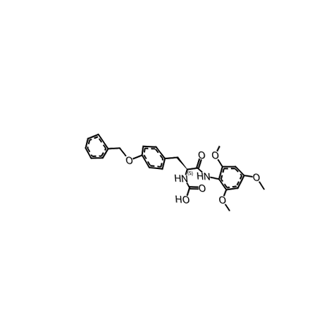 COc1cc(OC)c(NC(=O)[C@H](Cc2ccc(OCc3ccccc3)cc2)NC(=O)O)c(OC)c1